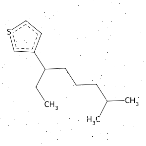 CCC(CCCC(C)C)c1ccsc1